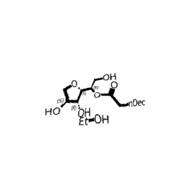 CCCCCCCCCCCC(=O)O[C@H](CO)[C@H]1OC[C@H](O)[C@H]1O.CCO